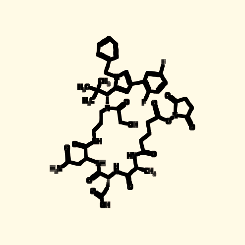 C[C@H](NC(=O)CCCC(=O)ON1C(=O)CCC1=O)C(=O)N[C@H](CC(=O)O)C(=O)N[C@@H](CC(N)=O)C(=O)NCCCN(C(=O)CO)[C@@H](c1cc(-c2cc(F)ccc2F)cn1Cc1ccccc1)C(C)(C)C